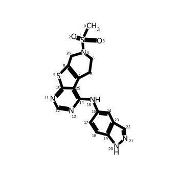 CS(=O)(=O)N1CCc2c(sc3ncnc(Nc4ccc5[nH]ncc5c4)c23)C1